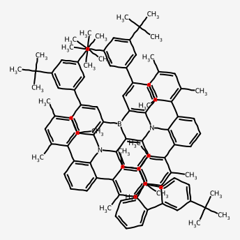 Cc1cc(C)c(-c2cccc(-c3c(C)cc(C)cc3C)c2N2c3ccc(-c4cc(C(C)(C)C)cc(C(C)(C)C)c4)cc3B3c4cc(-c5cc(C(C)(C)C)cc(C(C)(C)C)c5)ccc4N(c4c(-c5c(C)cc(C)cc5C)cccc4-c4c(C)cc(C)cc4C)c4cc(-n5c6ccccc6c6cc(C(C)(C)C)ccc65)cc2c43)c(C)c1